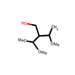 COC(C)C(CO)C(OC)OC